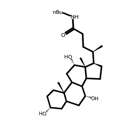 CCCCNC(=O)CC[C@@H](C)[C@H]1CCC2C3C(C[C@H](O)[C@@]21C)[C@@]1(C)CC[C@@H](O)CC1C[C@H]3O